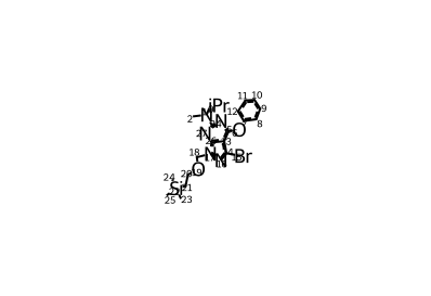 CC(C)N(C)c1nc(Oc2ccccc2)c2c(Br)nn(COCC[Si](C)(C)C)c2n1